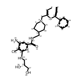 C=C=C(S/C(=C\C)CN1CCC(CNC(=O)c2cc(N)c(Cl)c(NC[C@@H](O)CO)n2)CC1)c1ccccn1